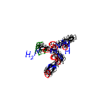 Nc1c(Cl)cc(C[C@@H](OC(=O)N2CCC(N3CCc4ccccc4NC3=O)CC2)C(=O)N2CCC(N3CCC[C@@H]3C(=O)OCCN3CCOCC3)CC2)cc1C(F)(F)F